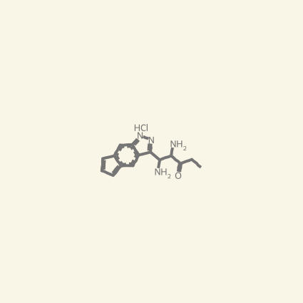 CCC(=O)C(N)C(N)C1=NN=c2cc3c(cc21)=CC=C3.Cl